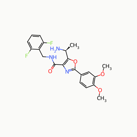 COc1ccc(-c2nc(C(=O)NCc3c(F)cccc3F)c([C@H](C)N)o2)cc1OC